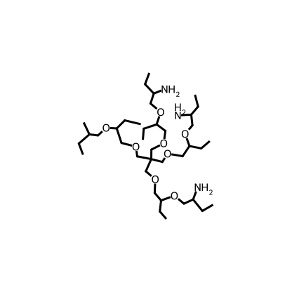 CCC(C)COC(CC)COCC(COCC(CC)OCC(N)CC)(COCC(CC)OCC(N)CC)COCC(CC)OCC(N)CC